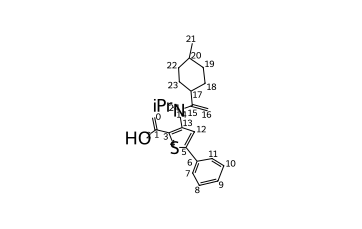 C=C(O)c1sc(-c2ccccc2)cc1N(C(=C)C1CCC(C)CC1)C(C)C